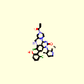 C=CC(=O)N1CCN2c3nc(=O)n(-c4c(C)ccnc4C(C)C)c4cc(-c5c(O)cccc5Cl)c(F)c(c34)NCC2C1